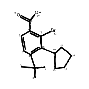 CC(C)(C)c1ccc(C(=O)O)c(Br)c1C1CCCC1